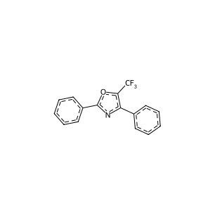 FC(F)(F)c1oc(-c2ccccc2)nc1-c1ccccc1